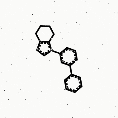 c1ccc(-c2cccc(-n3ccc4c3CCCC4)c2)cc1